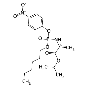 CCCCCCOP(=O)(N[C@@H](C)C(=O)OC(C)C)Oc1ccc([N+](=O)[O-])cc1